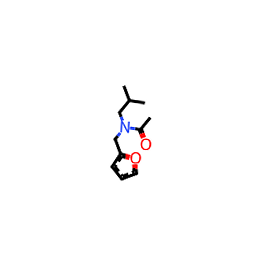 CC(=O)N(Cc1ccco1)CC(C)C